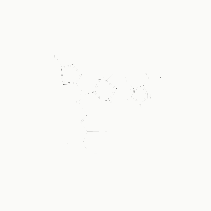 CC(C)c1ccc(B(CC=CC(Cl)C(C)F)c2cccc(Cl)c2)cc1.CCCCCCc1nc[nH]c1CCCCCC